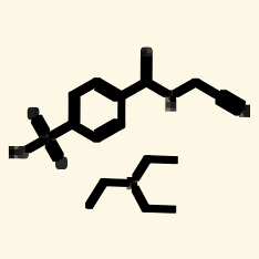 CCN(CC)CC.N#CCNC(=O)c1ccc(S(=O)(=O)O)cc1